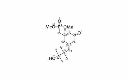 COP(=O)(CC1=CC(=O)C[C@@H](CC(C)(C)[Si](C)(C)O)C1)OC